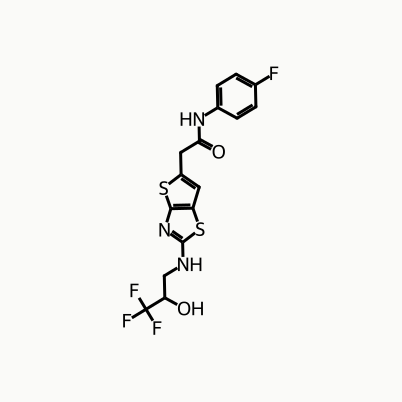 O=C(Cc1cc2sc(NCC(O)C(F)(F)F)nc2s1)Nc1ccc(F)cc1